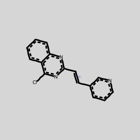 Clc1nc(/C=C/c2cccnc2)nc2ccccc12